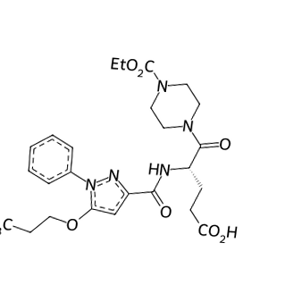 CCOC(=O)N1CCN(C(=O)[C@H](CCC(=O)O)NC(=O)c2cc(OCCC(F)(F)F)n(-c3ccccc3)n2)CC1